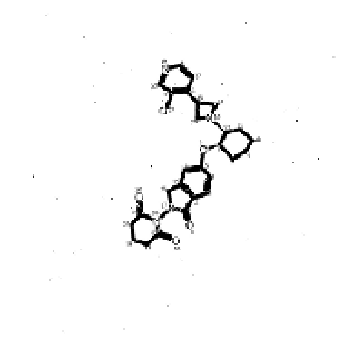 O=C1c2ccc(O[C@@H]3CCCC[C@@H]3N3CC(c4ccncc4Cl)C3)cc2CN1N1C(=O)CCCC1=O